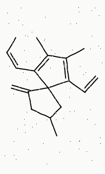 C=CC1=C(C)C(C)=C(/C=C\C)C12CC(C)CC2=C